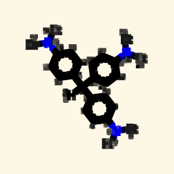 [2H]C(c1ccc(N(CC)CC)cc1)(c1ccc(N(CC)CC)cc1)c1ccc(N(CC)CC)cc1